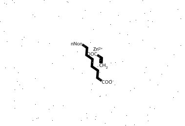 C=CC(=O)[O-].CCCCCCCCCCCCCCCC(=O)[O-].[Zn+2]